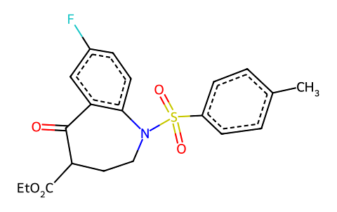 CCOC(=O)C1CCN(S(=O)(=O)c2ccc(C)cc2)c2ccc(F)cc2C1=O